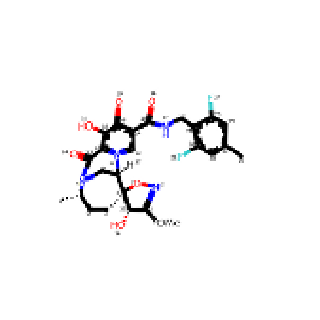 COC1=NO[C@@]2(CC[C@H](C)N3C[C@H]2n2cc(C(=O)NCc4c(F)cc(C)cc4F)c(=O)c(O)c2C3=O)[C@H]1O